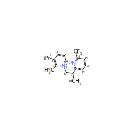 Cc1c(C(C)C)ccc[n+]1CC(C)c1cccc(C(F)(F)F)n1